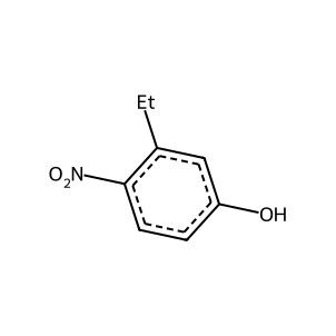 CCc1cc(O)ccc1[N+](=O)[O-]